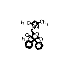 Cc1cc(C)n(CC2OC(=O)C(c3ccccc3)(c3ccccc3)C2(C)Cl)n1